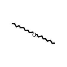 CCCCCCC[CH]COCCCCCCCCCC